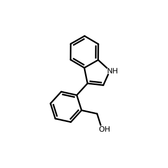 OCc1ccccc1-c1c[nH]c2ccccc12